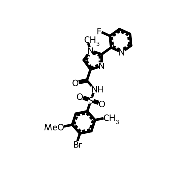 COc1cc(S(=O)(=O)NC(=O)c2cn(C)c(-c3ncccc3F)n2)c(C)cc1Br